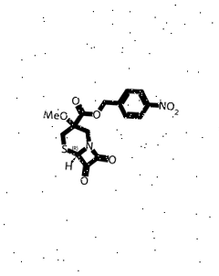 COC1(C(=O)OCc2ccc([N+](=O)[O-])cc2)CS[C@@H]2C(=O)C(=O)N2C1